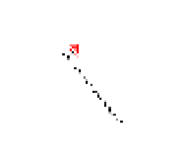 CCC=CCC=CCC=CCCCCCCCC=C(C)C(=O)O